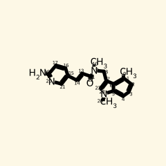 Cc1cccc2c1c(CN(C)C(=O)C=Cc1ccc(N)nc1)cn2C